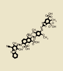 COc1cc(N=Nc2c(S(=O)(=O)O)cc3c(S(=O)(=O)O)c(N=Nc4c(C)c(C#N)c5nc6ccccc6n5c4O)ccc3c2O)c(N(C)C)cc1N=Nc1nc2cc(S(=O)(=O)O)c(C)c(S(=O)(=O)O)c2s1